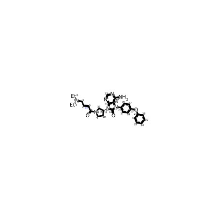 CCN(CC)C/C=C/C(=O)N1CC[C@@H](n2c(=O)n(-c3ccc(Oc4ccccc4)cc3)c3c(N)ncnc32)C1